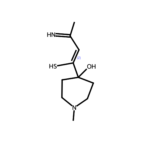 CC(=N)/C=C(\S)C1(O)CCN(C)CC1